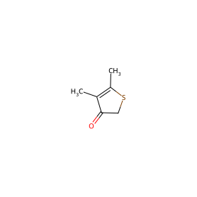 CC1=C(C)C(=O)CS1